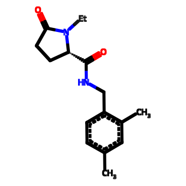 CCN1C(=O)CC[C@H]1C(=O)NCc1ccc(C)cc1C